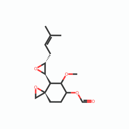 COC1C(OC=O)CC[C@]2(CO2)C1[C@H]1O[C@@H]1CC=C(C)C